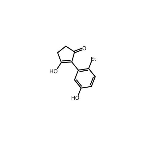 CCc1ccc(O)cc1C1=C(O)CCC1=O